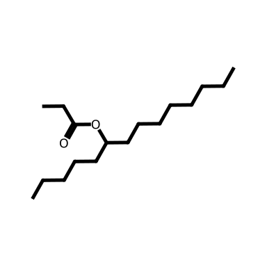 CCCCCCCCC(CCCCC)OC(=O)CC